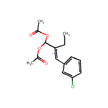 CC/C(=C\c1cccc(Cl)c1)C(OC(C)=O)OC(C)=O